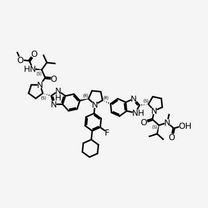 COC(=O)N[C@H](C(=O)N1CCC[C@H]1c1nc2ccc([C@H]3CC[C@H](c4ccc5[nH]c([C@@H]6CCCN6C(=O)[C@H](C(C)C)N(C)C(=O)O)nc5c4)N3c3ccc(C4CCCCC4)c(F)c3)cc2[nH]1)C(C)C